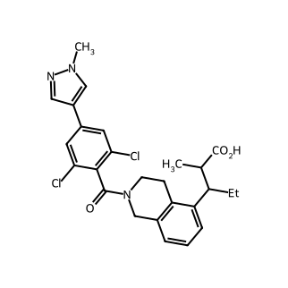 CCC(c1cccc2c1CCN(C(=O)c1c(Cl)cc(-c3cnn(C)c3)cc1Cl)C2)C(C)C(=O)O